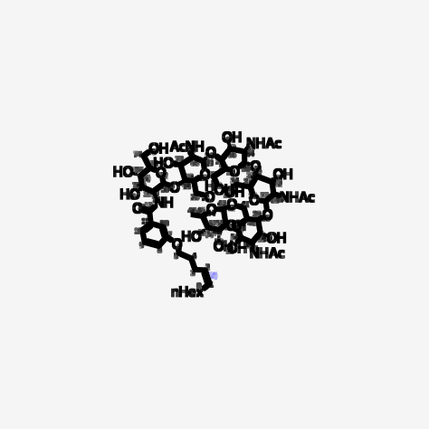 CCCCCC/C=C\CCCOc1cccc(C(=O)N[C@@H]2C(O[C@@H]3C(CO)O[C@@H](OC4C(CO)O[C@@H](O[C@@H]5C(CO)OC(OC6C(CO[C@@H]7OC(C)[C@@H](O)[C@@H](O)C7O)OC(O)[C@@H](NC(C)=O)[C@H]6O)C(NC(C)=O)C5O)[C@@H](NC(C)=O)[C@H]4O)C(NC(C)=O)C3O)OC(CO)[C@@H](O)[C@@H]2O)c1